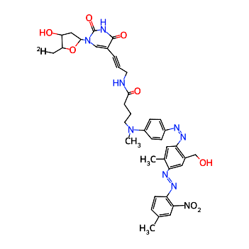 [2H]CC1OC(n2cc(C#CCNC(=O)CCCN(C)c3ccc(/N=N\c4cc(C)c(/N=N/c5ccc(C)cc5[N+](=O)[O-])cc4CO)cc3)c(=O)[nH]c2=O)CC1O